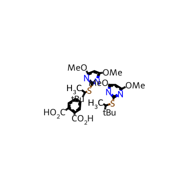 COc1cc(OC)nc(SC(C)C(C)(C)C)n1.COc1cc(OC)nc(SC(C)C(C)(C)C)n1.O=C(O)c1ccccc1C(=O)O